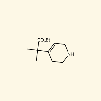 CCOC(=O)C(C)(C)C1=CCNCC1